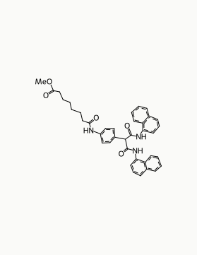 COC(=O)CCCCCCC(=O)Nc1ccc(C(C(=O)Nc2cccc3ccccc23)C(=O)Nc2cccc3ccccc23)cc1